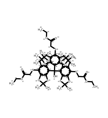 CCOC(=O)CSc1c2c(c(C(O)(c3c4c(c(SCC(=O)OCC)c5c3SC(C)(C)O5)OC(C)(C)S4)c3c4c(c(SCC(=O)OCC)c5c3SC(C)(C)O5)OC(C)(C)S4)c3c1OC(C)(C)S3)SC(C)(C)O2